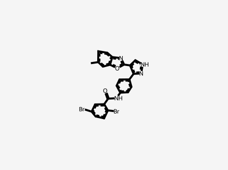 Cc1ccc2nc(-c3c[nH]nc3-c3ccc(NC(=O)c4cc(Br)ccc4Br)cc3)oc2c1